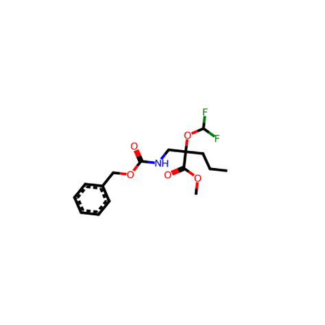 CCCC(CNC(=O)OCc1ccccc1)(OC(F)F)C(=O)OC